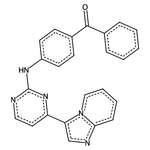 O=C(c1ccccc1)c1ccc(Nc2nccc(-c3cnc4ccccn34)n2)cc1